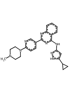 CN1CCN(c2ccc(-c3nc(Nc4cc(C5CC5)[nH]n4)c4ccccc4n3)cn2)CC1